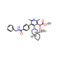 Cc1nc(C)c(C(OC(C)(C)C)C(=O)OC(C)C)c(N2CC[C@H]3CCCC[C@H]3C2)c1-c1ccc(C(=O)NCc2ccccc2)cc1